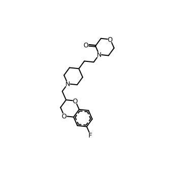 O=C1COCCN1CCC1CCN(CC2COc3cc(F)ccc3O2)CC1